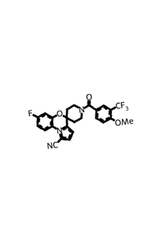 COc1ccc(C(=O)N2CCC3(CC2)Oc2cc(F)ccc2-n2c(C#N)ccc23)cc1C(F)(F)F